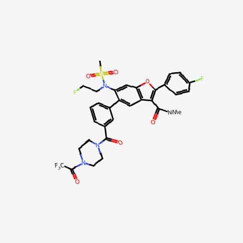 CNC(=O)c1c(-c2ccc(F)cc2)oc2cc(N(CCF)S(C)(=O)=O)c(-c3cccc(C(=O)N4CCN(C(=O)C(F)(F)F)CC4)c3)cc12